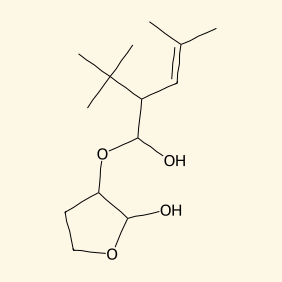 CC(C)=CC(C(O)OC1CCOC1O)C(C)(C)C